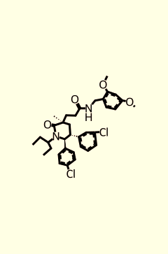 CCC(CC)N1C(=O)[C@@](C)(CCC(=O)NCc2ccc(OC)cc2OC)C[C@H](c2cccc(Cl)c2)[C@H]1c1ccc(Cl)cc1